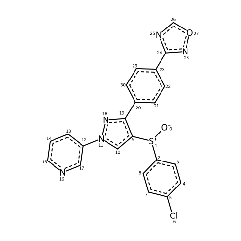 [O-][S+](c1ccc(Cl)cc1)c1cn(-c2cccnc2)nc1-c1ccc(-c2ncon2)cc1